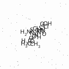 CC(C)(C)OC(=O)CON=C(C(=O)NC1C(=O)N2CC(Cl)(C(=O)O)CS[C@H]12)c1nc(N)sc1Cl